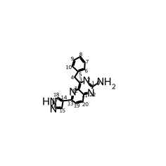 Nc1nc(Cc2ccccc2)c2nc(-c3cn[nH]c3)ccc2n1